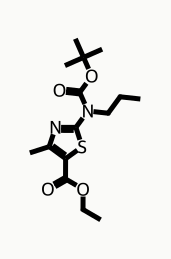 CCCN(C(=O)OC(C)(C)C)c1nc(C)c(C(=O)OCC)s1